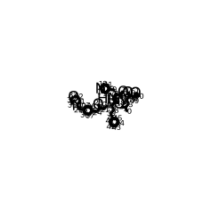 CC(C)CC(NC(=O)[C@H](Cc1ccncc1)NC(=O)[C@@H](CCC(=O)Cc1ccc(CN2CCOCC2)cc1)CCc1ccccc1)C(=O)[C@@]1(C)CO1